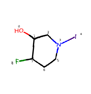 OC1CN(I)CCC1F